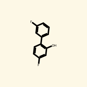 Oc1cc(F)ccc1-c1cccc(F)c1